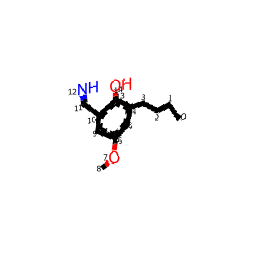 CCCCc1cc(OC)cc(C=N)c1O